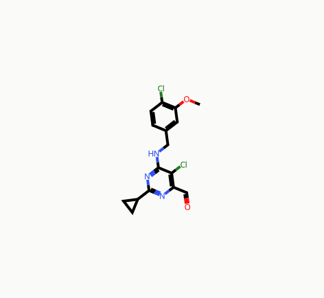 COc1cc(CNc2nc(C3CC3)nc(C=O)c2Cl)ccc1Cl